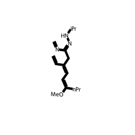 C=C/C(=C\C=C(/CCC)OC)C/C(N=C)=N/NC(C)C